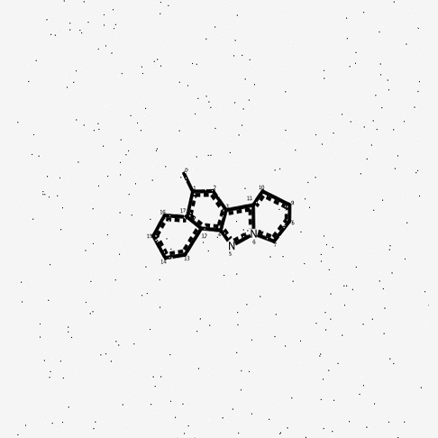 Cc1cc2c(nn3ccccc23)c2ccccc12